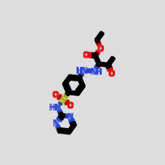 CCOC(=O)C(NNc1ccc(S(=O)(=O)Nc2ncccn2)cc1)C(C)=O